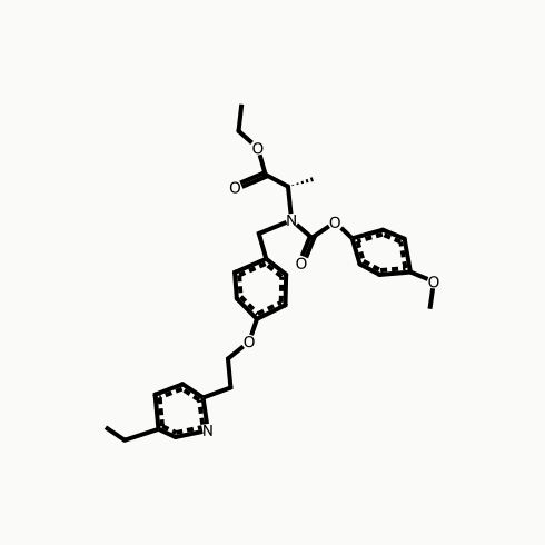 CCOC(=O)[C@H](C)N(Cc1ccc(OCCc2ccc(CC)cn2)cc1)C(=O)Oc1ccc(OC)cc1